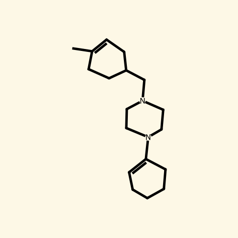 CC1=CCC(CN2CCN(C3=CCCCC3)CC2)CC1